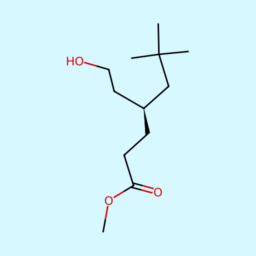 COC(=O)CC[C@@H](CCO)CC(C)(C)C